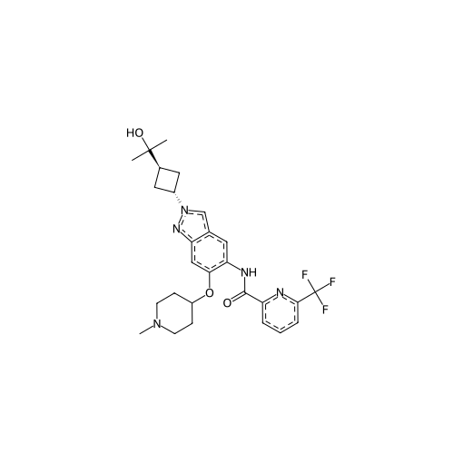 CN1CCC(Oc2cc3nn([C@H]4C[C@H](C(C)(C)O)C4)cc3cc2NC(=O)c2cccc(C(F)(F)F)n2)CC1